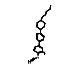 CCCCCC1CCC(c2ccc(-c3ccc(SC#N)c(F)c3)cc2)CC1